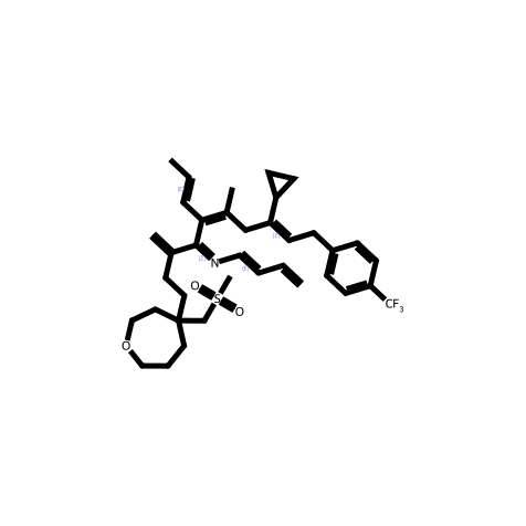 C=C/C=C/N=C(/C(=C)CCC1(CS(C)(=O)=O)CCCOCC1)C(/C=C/C)=C(C)C/C(=C/Cc1ccc(C(F)(F)F)cc1)C1CC1